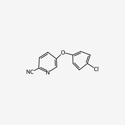 N#Cc1ccc(Oc2ccc(Cl)cc2)cn1